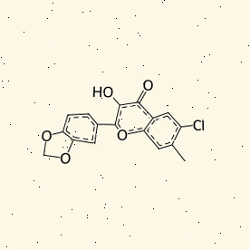 Cc1cc2oc(-c3ccc4c(c3)OCO4)c(O)c(=O)c2cc1Cl